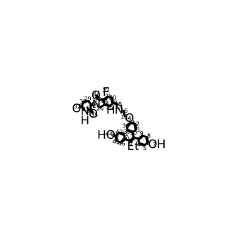 CCC(=C(c1ccc(O)cc1)c1ccc(OCCNCc2cc(F)c3c(c2)CN(C2CCC(=O)NC2=O)C3=O)cc1)c1ccc(O)cc1